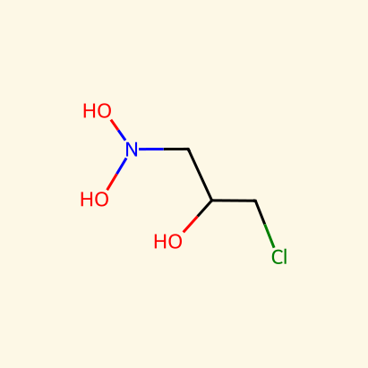 OC(CCl)CN(O)O